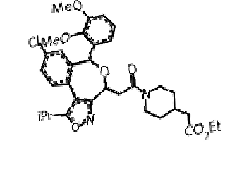 CCOC(=O)CC1CCN(C(=O)CC2OC(c3cccc(OC)c3OC)c3cc(Cl)ccc3-c3c2noc3C(C)C)CC1